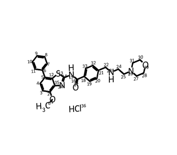 COc1ccc(-c2ccccc2)c2sc(NC(=O)c3ccc(CNCCN4CCOCC4)cc3)nc12.Cl